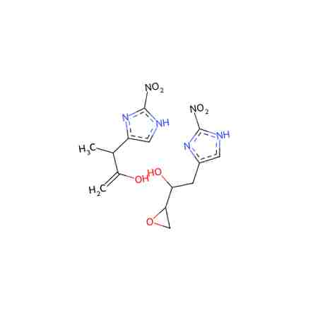 C=C(O)C(C)c1c[nH]c([N+](=O)[O-])n1.O=[N+]([O-])c1nc(CC(O)C2CO2)c[nH]1